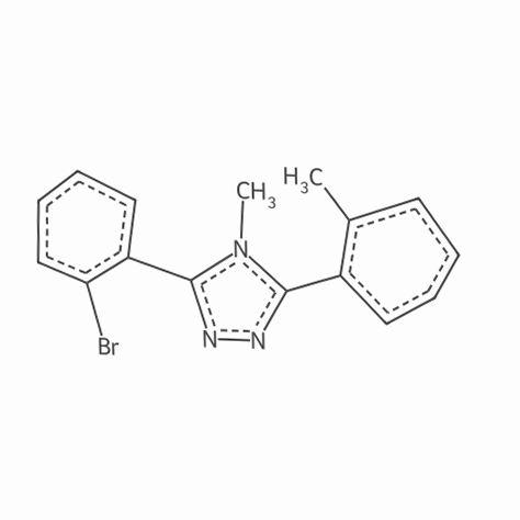 Cc1ccccc1-c1nnc(-c2ccccc2Br)n1C